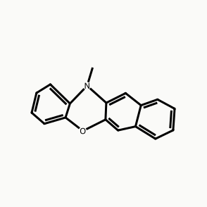 CN1c2ccccc2Oc2cc3ccccc3cc21